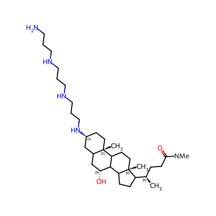 CNC(=O)CC[C@@H](C)C1CCC2C3C(CC[C@@]21C)[C@@]1(C)CC[C@H](NCCCNCCCNCCCN)CC1C[C@H]3O